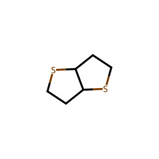 C1CC2SCCC2S1